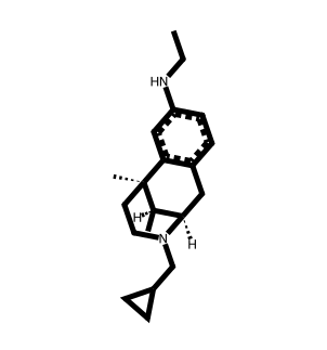 CCNc1ccc2c(c1)[C@]1(C)CCN(CC3CC3)[C@H](C2)[C@H]1C